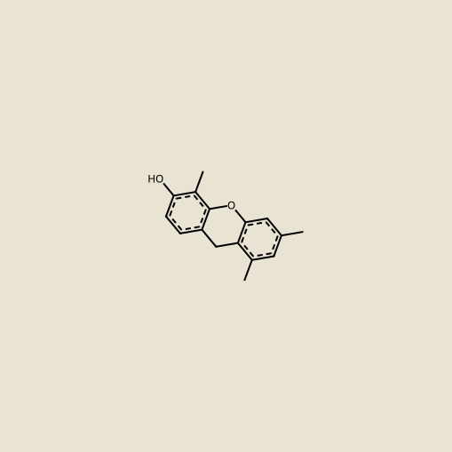 Cc1cc(C)c2c(c1)Oc1c(ccc(O)c1C)C2